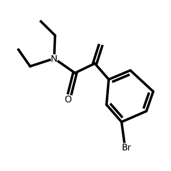 C=C(C(=O)N(CC)CC)c1cccc(Br)c1